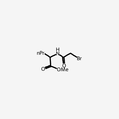 CCCC(NC(=O)CBr)C(=O)OC